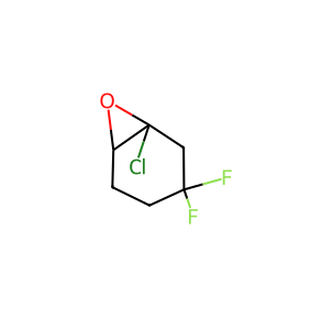 FC1(F)CCC2OC2(Cl)C1